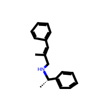 C/C(=C\c1ccccc1)CN[C@@H](C)c1ccccc1